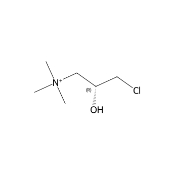 C[N+](C)(C)C[C@@H](O)CCl